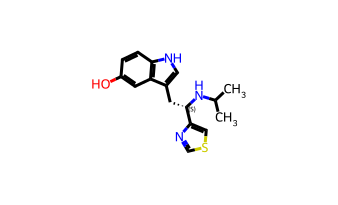 CC(C)N[C@@H](Cc1c[nH]c2ccc(O)cc12)c1cscn1